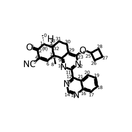 C[C@H]1C(=O)C(C#N)=C[C@@]2(C)c3nc(-c4ncnc5ccccc45)nc(OC4CCC4)c3CC[C@H]12